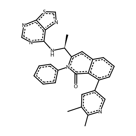 Cc1cc(-c2cccc3cc([C@H](C)Nc4ncnc5scnc45)n(-c4ccccc4)c(=O)c23)cnc1C